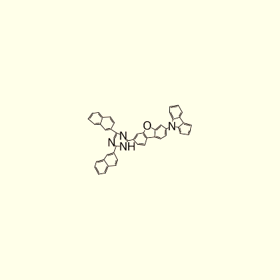 c1ccc2cc(C3=NC(c4ccc5ccccc5c4)NC(c4ccc5c(c4)oc4cc(-n6c7ccccc7c7ccccc76)ccc45)=N3)ccc2c1